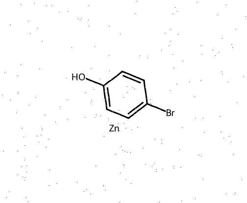 Oc1ccc(Br)cc1.[Zn]